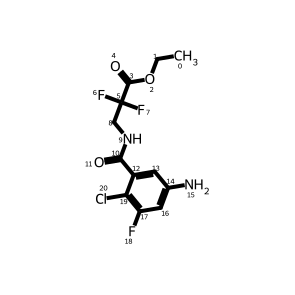 CCOC(=O)C(F)(F)CNC(=O)c1cc(N)cc(F)c1Cl